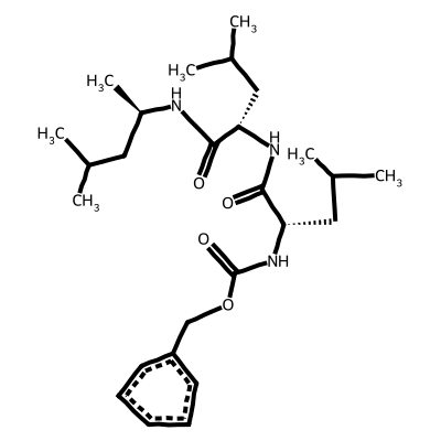 CC(C)C[C@@H](C)NC(=O)[C@H](CC(C)C)NC(=O)[C@H](CC(C)C)NC(=O)OCc1ccccc1